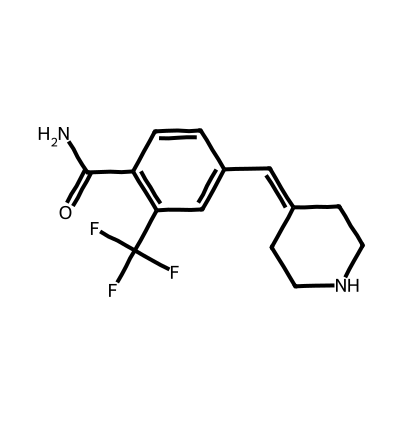 NC(=O)c1ccc(C=C2CCNCC2)cc1C(F)(F)F